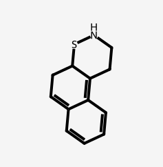 C1=c2ccccc2=C2CCNSC2C1